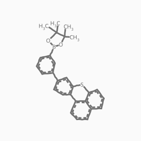 CC1(C)OB(c2cccc(-c3ccc4c(c3)Sc3cccc5cccc-4c35)c2)OC1(C)C